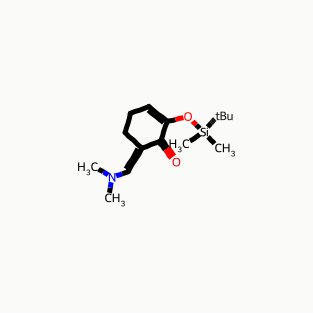 CN(C)C=C1CCC=C(O[Si](C)(C)C(C)(C)C)C1=O